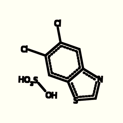 Clc1cc2ncsc2cc1Cl.O=S(=O)(O)O